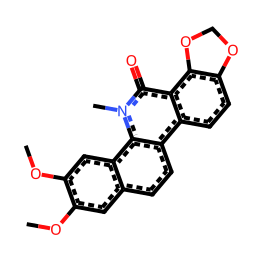 COc1cc2ccc3c4ccc5c(c4c(=O)n(C)c3c2cc1OC)OCO5